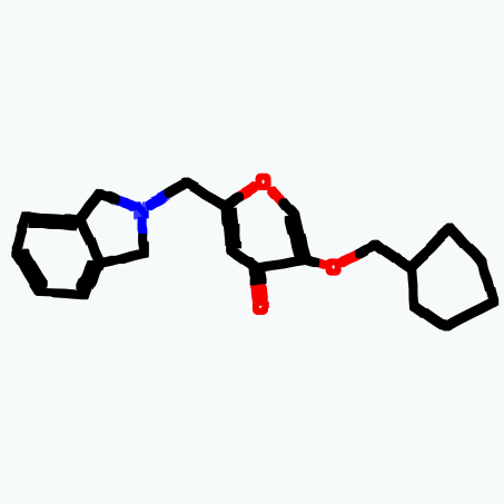 O=c1cc(CN2Cc3ccccc3C2)occ1OCC1CCCCC1